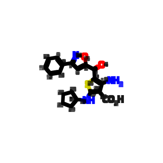 Nc1c(C(=O)c2cc(-c3ccccc3)no2)sc(NC2CCCC2)c1C(=O)O